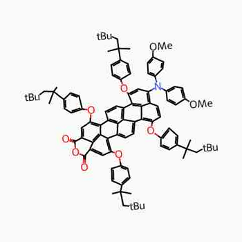 COc1ccc(N(c2ccc(OC)cc2)c2cc(Oc3ccc(C(C)(C)CC(C)(C)C)cc3)c3c4ccc5c6c(Oc7ccc(C(C)(C)CC(C)(C)C)cc7)cc7c8c(cc(Oc9ccc(C(C)(C)CC(C)(C)C)cc9)c(c9ccc(c%10c(Oc%11ccc(C(C)(C)CC(C)(C)C)cc%11)ccc2c%103)c4c95)c86)C(=O)OC7=O)cc1